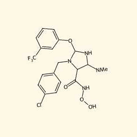 CNC1NC(Oc2cccc(C(F)(F)F)c2)N(Cc2ccc(Cl)cc2)C1C(=O)NOO